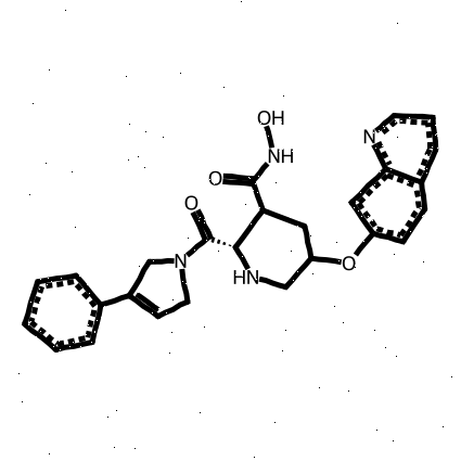 O=C(NO)C1CC(Oc2ccc3cccnc3c2)CN[C@@H]1C(=O)N1CC=C(c2ccccc2)C1